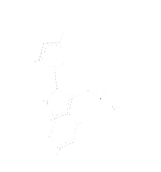 CC(C)(N)Cc1c(-c2ccc(Br)s2)nc2cnccn12